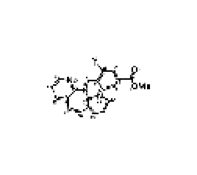 COC(=O)c1ccc(CN2c3ncccc3C=Cc3cccnc32)c(F)c1